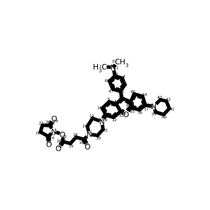 CN(C)c1ccc(-c2c3ccc(=[N+]4CCN(C(=O)CCC(=O)ON5C(=O)CCC5=O)CC4)cc-3oc3cc(N4CCCCC4)ccc23)cc1